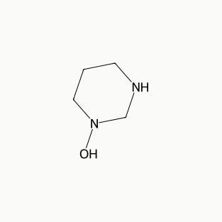 ON1CCCNC1